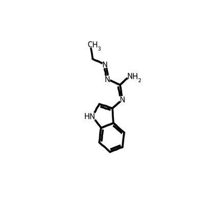 CCN=NC(N)=Nc1c[nH]c2ccccc12